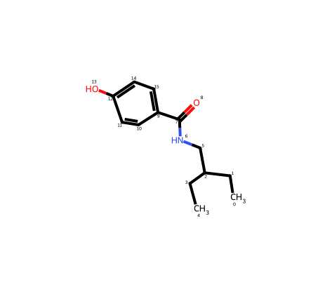 CCC(CC)CNC(=O)c1ccc(O)cc1